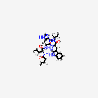 CC[C@@H](C)CC(=O)N[C@@H](C(=O)N[C@H](Cc1cnc[nH]1)C(=O)N[C@H](Cc1c[nH]c2ccccc12)C(=O)N[C@@H](C)CC)[C@H](C)CC